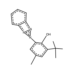 Cc1cc(-n2n3c4ccccc4n23)c(O)c(C(C)(C)C)c1